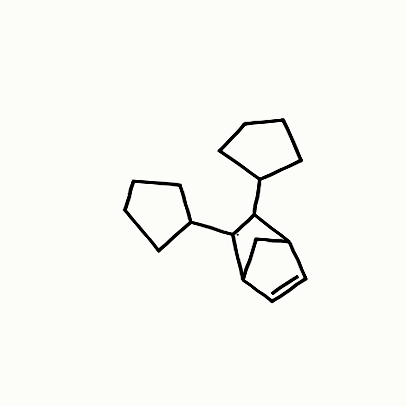 C1=CC2CC1[C](C1CCCC1)C2C1CCCC1